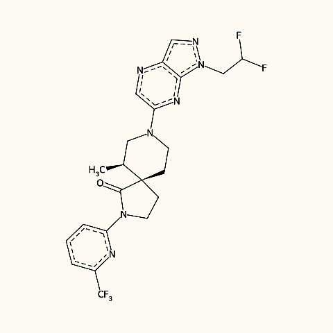 C[C@H]1CN(c2cnc3cnn(CC(F)F)c3n2)CC[C@]12CCN(c1cccc(C(F)(F)F)n1)C2=O